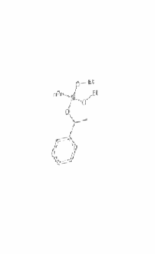 CCC[Si](OCC)(OCC)OC(C)c1ccccc1